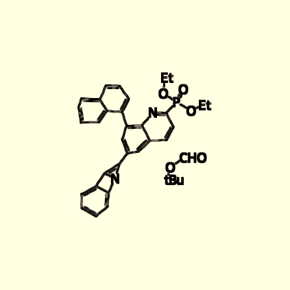 CC(C)(C)OC=O.CCOP(=O)(OCC)c1ccc2cc(-c3c4c5ccccc5n3-4)cc(-c3cccc4ccccc34)c2n1